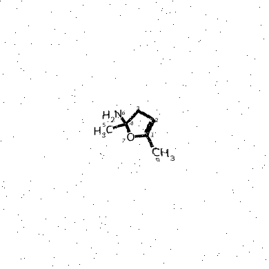 CC1=CCC(C)(N)O1